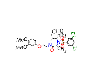 CCCC[C@H]1[C@@H](CC=O)CN(CCOc2ccc(OC)c(OC)c2)C(=O)C(C)N1S(=O)(=O)c1cc(Cl)cc(Cl)c1